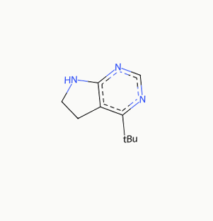 CC(C)(C)c1ncnc2c1CCN2